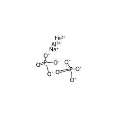 O=P([O-])([O-])[O-].O=P([O-])([O-])[O-].[Al+3].[Fe+2].[Na+]